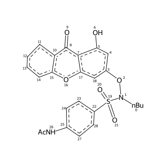 CCCCN(Oc1cc(O)c2c(=O)c3ccccc3oc2c1)S(=O)(=O)c1ccc(NC(C)=O)cc1